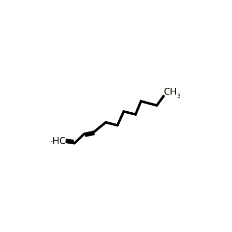 [CH]=C/C=C/CCCCCCC